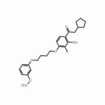 Cc1c(OCCCCOc2cccc(OC=O)c2)ccc(C(=O)CC2CCCC2)c1O